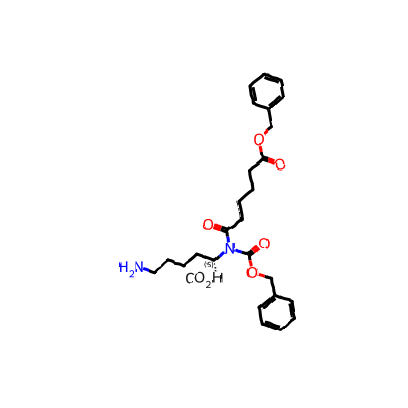 NCCCC[C@@H](C(=O)O)N(C(=O)CCCCC(=O)OCc1ccccc1)C(=O)OCc1ccccc1